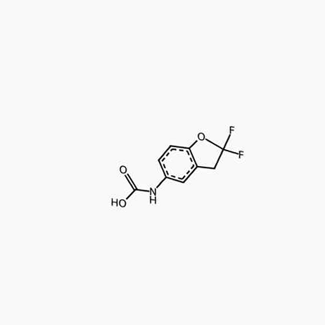 O=C(O)Nc1ccc2c(c1)CC(F)(F)O2